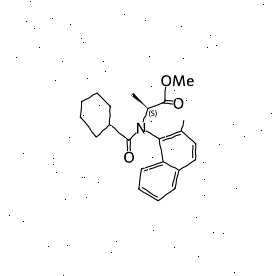 COC(=O)[C@H](C)N(C(=O)C1CCCCC1)c1c(C)ccc2ccccc12